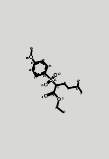 CCOC(=O)C(CCC(C)C)S(=O)(=O)c1ccc(OC)cc1